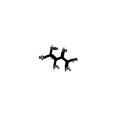 C=C(CCC)C(=N)/C(C)=C(/N)NC